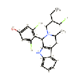 CCC(CF)CN1C(C)Cc2c([nH]c3ccccc23)C1c1c(F)cc(Br)cc1F